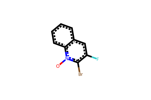 [O-][n+]1c(Br)c(F)cc2ccccc21